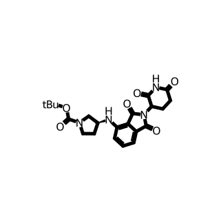 CC(C)(C)OC(=O)N1CC[C@H](Nc2cccc3c2C(=O)N(C2CCC(=O)NC2=O)C3=O)C1